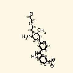 C[C@@H]1CN(c2cc(-c3n[nH]c4ccc([N+](=O)[O-])cc34)ccn2)C[C@H](C)N1CCOCC=O